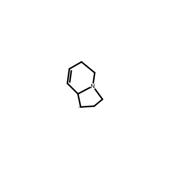 [C]1CCN2CCC=CC12